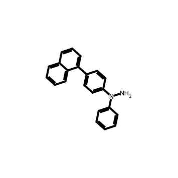 NN(c1ccccc1)c1ccc(-c2cccc3ccccc23)cc1